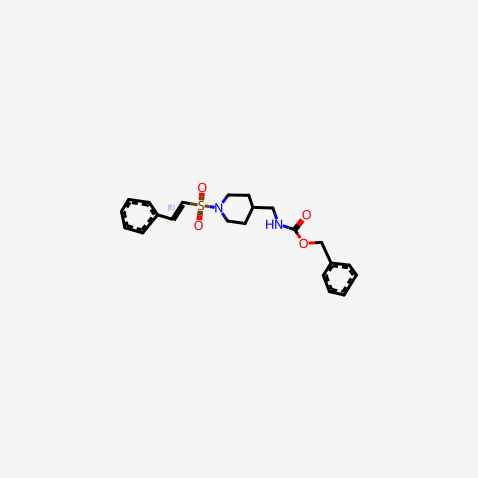 O=C(NCC1CCN(S(=O)(=O)/C=C/c2ccccc2)CC1)OCc1ccccc1